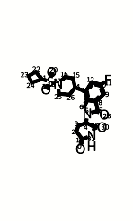 O=C1CCC(N2Cc3c(cc(F)cc3C3CCN(S(=O)(=O)C4CCC4)CC3)C2=O)C(=O)N1